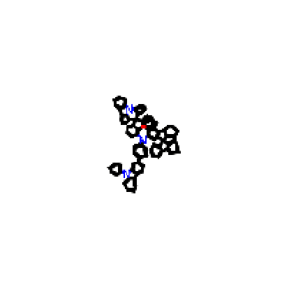 c1ccc(-n2c3ccccc3c3ccc(-c4ccc(N(c5cccc6c5-c5ccccc5C65c6ccccc6-n6c7ccccc7c7cccc5c76)c5cc6c(c7ccccc57)-c5ccccc5C65c6ccccc6-c6ccccc65)cc4)cc32)cc1